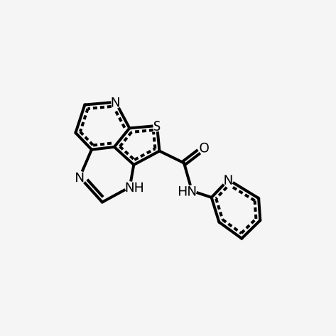 O=C(Nc1ccccn1)c1sc2nccc3c2c1NC=N3